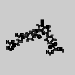 CC(C)S(=O)(=O)c1ccc(-c2cnc3[nH]cc(N4Cc5cc(N(C)CCCN(C)C)ccc5C4=O)c3n2)cc1